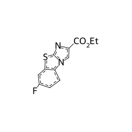 CCOC(=O)c1cn2c(n1)sc1cc(F)ccc12